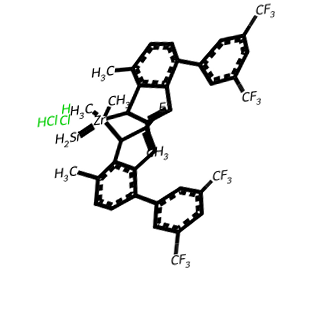 CCC1=Cc2c(-c3cc(C(F)(F)F)cc(C(F)(F)F)c3)ccc(C)c2[CH]1[Zr]([CH3])([CH3])(=[SiH2])[CH]1C(C)=Cc2c(-c3cc(C(F)(F)F)cc(C(F)(F)F)c3)ccc(C)c21.Cl.Cl